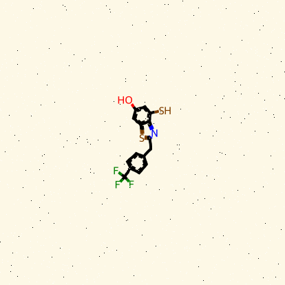 Oc1cc(S)c2nc(Cc3ccc(C(F)(F)F)cc3)sc2c1